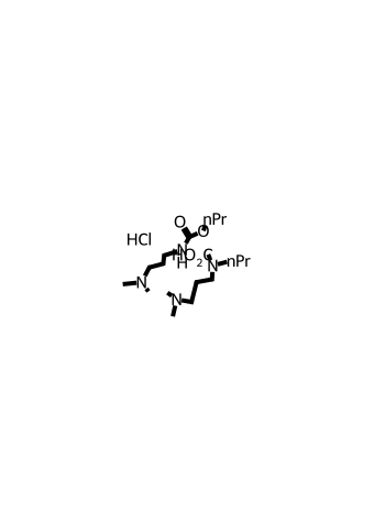 CCCN(CCCN(C)C)C(=O)O.CCCOC(=O)NCCCN(C)C.Cl